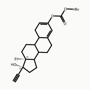 C#C[C@]1(O)CCC2C3CCC4=CC(OC(=O)OCCCC)=CCC4C3CC[C@@]21CC